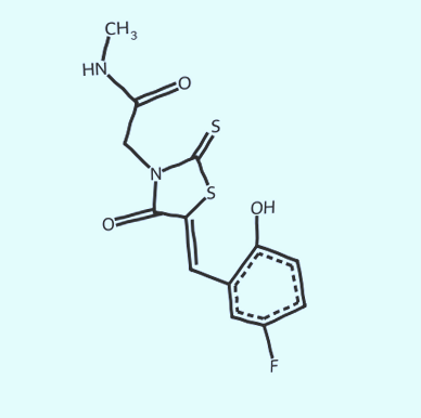 CNC(=O)CN1C(=O)C(=Cc2cc(F)ccc2O)SC1=S